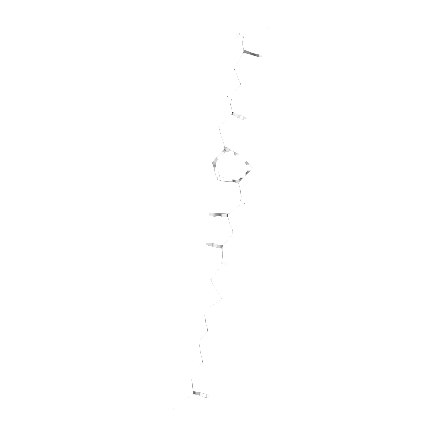 CNC(=O)CCNC(=O)Cc1ccc(NC(=O)CC(=O)NCCOCCCOC(C)=O)cc1